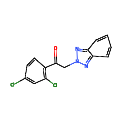 O=C(Cn1nc2ccccc2n1)c1ccc(Cl)cc1Cl